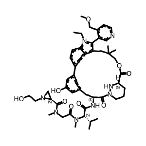 CCn1c(-c2cnccc2COC)c2c3cc(ccc31)-c1cc(O)cc(c1)C[C@H](NC(=O)[C@H](C(C)C)N(C)C(=O)CN(C)C(=O)[C@@H]1CN1CCO)C(=O)N1CCC[C@H](N1)C(=O)OCC(C)(C)C2